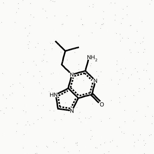 CC(C)Cn1c(N)nc(=O)c2nc[nH]c21